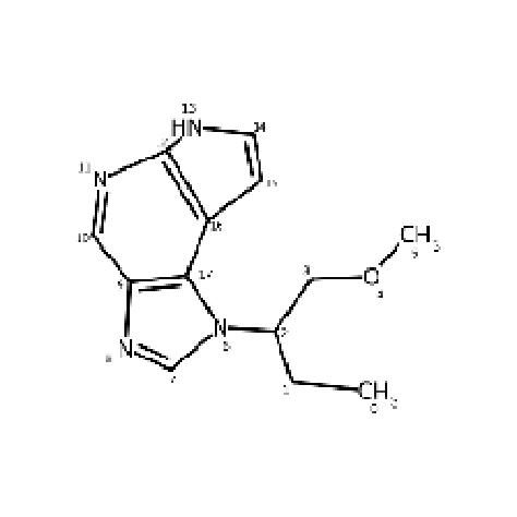 CCC(COC)n1cnc2cnc3[nH]ccc3c21